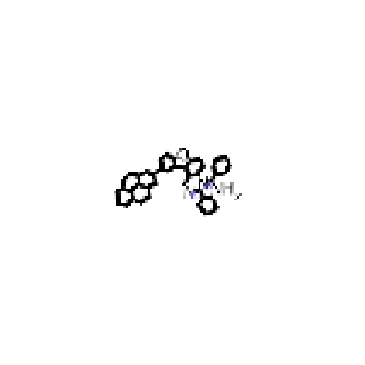 N/C(=N\C(=N/Cc1cccc2oc3ccc(-c4cc5ccc6cccc7ccc(c4)c5c67)cc3c12)c1ccccc1)c1ccccc1